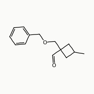 CC1CC(C=O)(COCc2ccccc2)C1